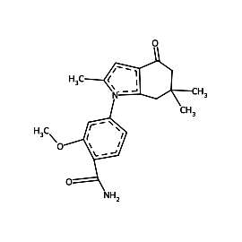 COc1cc(-n2c(C)cc3c2CC(C)(C)CC3=O)ccc1C(N)=O